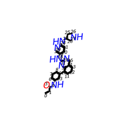 C=CC(=O)Nc1cccc(-c2cccc3cnc(Nc4ccc(NC5CCNC5)nc4)nc23)c1